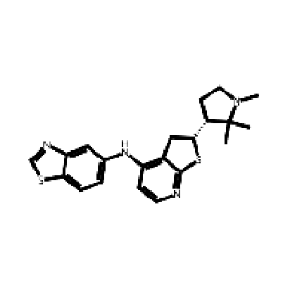 CN1CC[C@@H](C2Cc3c(Nc4ccc5scnc5c4)ccnc3S2)C1(C)C